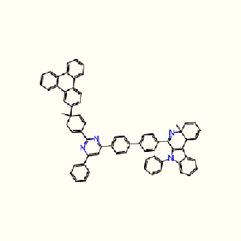 CC1(c2ccc3c4ccccc4c4ccccc4c3c2)C=CC(c2nc(-c3ccccc3)cc(-c3ccc(-c4ccc(C5=NC6(C)C=CC=CC6c6c5n(-c5ccccc5)c5ccccc65)cc4)cc3)n2)=CC1